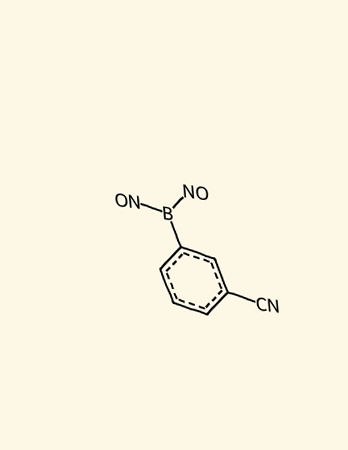 N#Cc1cccc(B(N=O)N=O)c1